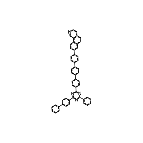 c1ccc(-c2ccc(-c3nc(-c4ccccc4)nc(-c4ccc(-c5ccc(-c6ccc(-c7ccc8c(ccc9ccncc98)c7)cc6)cc5)cc4)n3)cc2)cc1